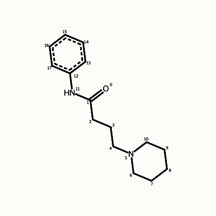 O=C(CCCN1CCCCC1)Nc1ccccc1